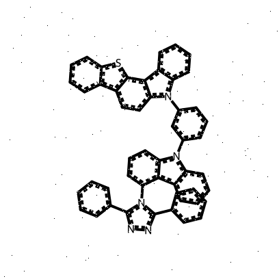 c1ccc(-c2nnc(-c3ccccc3)n2-c2cccc3c2c2ccccc2n3-c2cccc(-n3c4ccccc4c4c5sc6ccccc6c5ccc43)c2)cc1